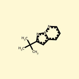 CC(C)(C)c1cc2cccnn2n1